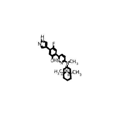 CN(c1ccc(-c2cc(F)c(-c3cn[nH]c3)cc2O)nn1)C1C[C@]2(C)CCC[C@](C)(C1)N2